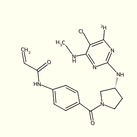 [2H]c1nc(N[C@@H]2CCN(C(=O)c3ccc(NC(=O)C=C)cc3)C2)nc(NC)c1Cl